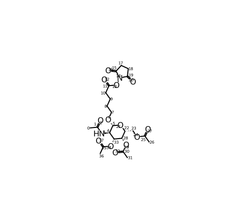 CC(=O)N[C@H]1[C@H](OCCCCC(=O)ON2C(=O)CCC2=O)O[C@H](COC(C)=O)[C@H](OC(C)=O)[C@@H]1OC(C)=O